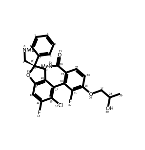 CNC[C@@]1(c2ccccc2)Cc2c(cc(F)c(Cl)c2-c2c(C(=O)NC)ccc(OCC(C)O)c2F)O1